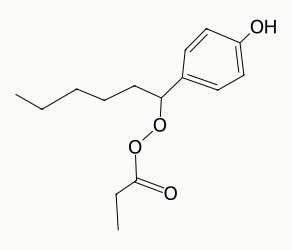 CCCCCC(OOC(=O)CC)c1ccc(O)cc1